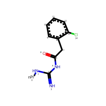 CCCNC(=N)NC(=O)Cc1ccccc1Cl